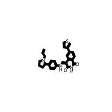 C=CCN1CCCC1c1ccc(NC=C2C(=O)NC(=O)c3ccc(-c4ccsc4)cc32)cc1